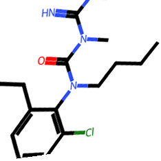 CCCCN(C(=O)N(C)C(=N)N)c1c(Cl)cccc1CC